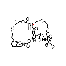 C[C@H]1CCC/C=C/c2cccc3c2CN(C3)C(=O)O[C@H]2C[C@H]3C(=O)NC(C(=O)NS(=O)(=O)C4CC4)C/C=C\CCCCC[C@H](NC(=O)OC1)C(=O)N3C2